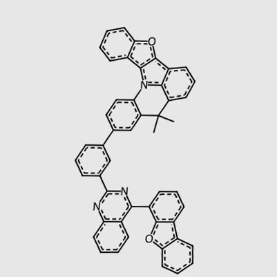 CC1(C)c2cc(-c3cccc(-c4nc(-c5cccc6c5oc5ccccc56)c5ccccc5n4)c3)ccc2-n2c3c1cccc3c1oc3ccccc3c12